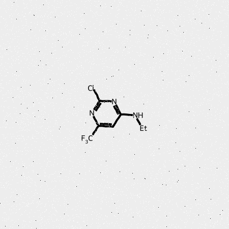 CCNc1cc(C(F)(F)F)nc(Cl)n1